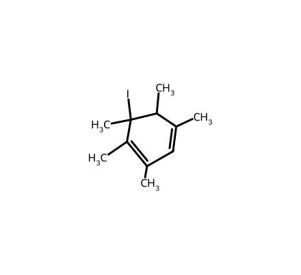 CC1=CC(C)=C(C)C(C)(I)C1C